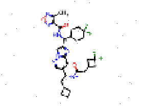 Cc1nonc1C(=O)N[C@H](c1cn2ncc(C(CC3CCC3)NC(=O)CC3CC(F)(F)C3)cc2n1)C1CCC(F)(F)CC1